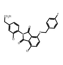 CCOC(=O)Cc1ccc(N2C(=O)c3c(Cl)ccc(OCc4ccc(F)cc4)c3C2=O)c(Cl)c1